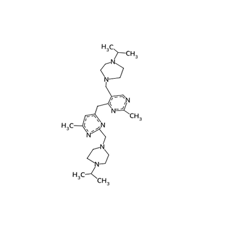 Cc1cc(Cc2nc(C)ncc2CN2CCN(C(C)C)CC2)nc(CN2CCN(C(C)C)CC2)n1